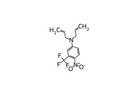 C=CCN(CC=C)c1ccc([N+](=O)[O-])c(C(F)(F)F)c1